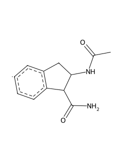 CC(=O)NC1Cc2c[c]ccc2C1C(N)=O